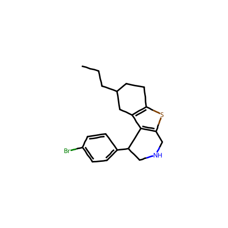 CCCC1CCc2sc3c(c2C1)C(c1ccc(Br)cc1)CNC3